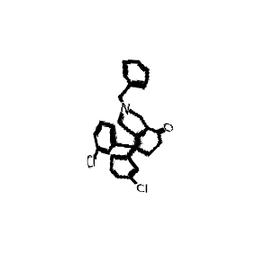 O=C1CCC(c2cccc(Cl)c2)(c2cccc(Cl)c2)C2CN(Cc3ccccc3)CC12